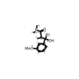 CCC(O)(c1cccc(OC)c1)C(C)C(=O)N(C)C